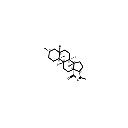 CC(=O)[C@H]1CC[C@H]2[C@@H]3CC[C@H]4C[C@H](C)CC[C@]4(C)[C@H]3CC[C@]12C(C)=O